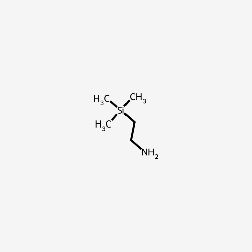 C[Si](C)(C)CCN